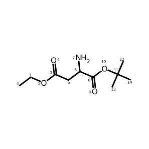 CCOC(=O)CC(N)C(=O)OC(C)(C)C